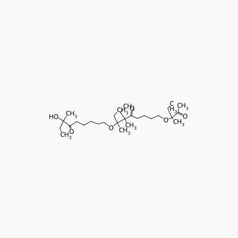 CCC(C)(O)C(=O)CCCCCOC(C)(CC)C(C)(CC)C(=O)CCCCOC(C)(CC)C(C)=O